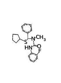 CN(C(=O)Nc1ccccc1F)C(SC1CCCC1)c1ccccc1